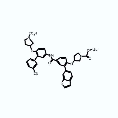 CC(C)(C)OC(=O)N1CCC(Oc2ccc(C(=O)Nc3ccc(OC4CCN(C(=O)O)C4)c(-c4cccc(C#N)c4)c3)cc2-c2ccc3ccsc3c2)C1